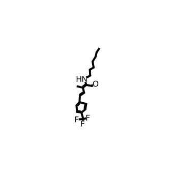 CCCCCCCN/C(C=O)=C(C)/C=C/c1ccc(C(F)(F)F)cc1